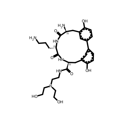 NCCC[C@@H]1NC(=O)[C@@H](N)Cc2cc(ccc2O)-c2ccc(O)c(c2)C[C@@H](C(=O)NCCN(CCO)CCO)NC1=O